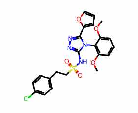 COc1cccc(OC)c1-n1c(NS(=O)(=O)CCc2ccc(Cl)cc2)nnc1-c1ccco1